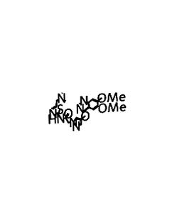 COc1cc2ncnc(Oc3cnn(CC(=O)Nc4ncc(CN(C)C)s4)c3)c2cc1OC